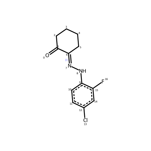 O=C1CCCC/C1=N\Nc1ccc(Cl)cc1F